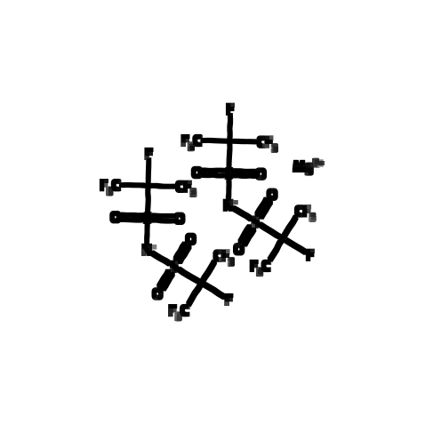 O=S(=O)([N-]S(=O)(=O)C(F)(C(F)(F)F)C(F)(F)F)C(F)(C(F)(F)F)C(F)(F)F.O=S(=O)([N-]S(=O)(=O)C(F)(C(F)(F)F)C(F)(F)F)C(F)(C(F)(F)F)C(F)(F)F.[Mg+2]